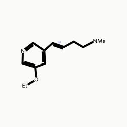 CCOc1cncc(/C=C/CCNC)c1